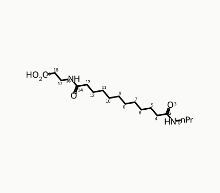 CCCNC(=O)CCCCCCCCCCC(=O)NCCC(=O)O